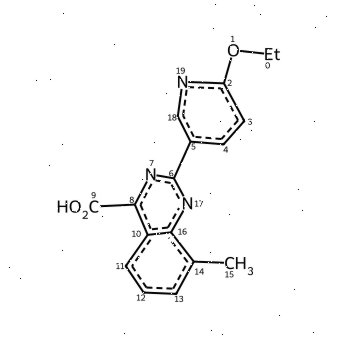 CCOc1ccc(-c2nc(C(=O)O)c3cccc(C)c3n2)cn1